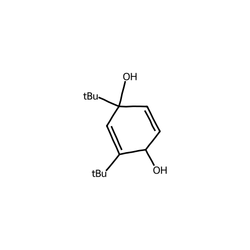 CC(C)(C)C1=CC(O)(C(C)(C)C)C=CC1O